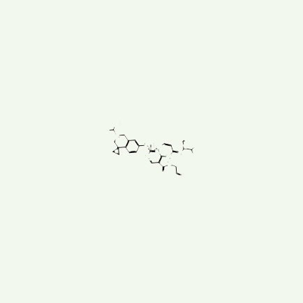 C=CCn1c(=O)c2cnc(Nc3ccc4c(c3)CN(C(C)C)CC43CC3)nc2n1C(/C=C\C)=N/N(C=O)C(C)C